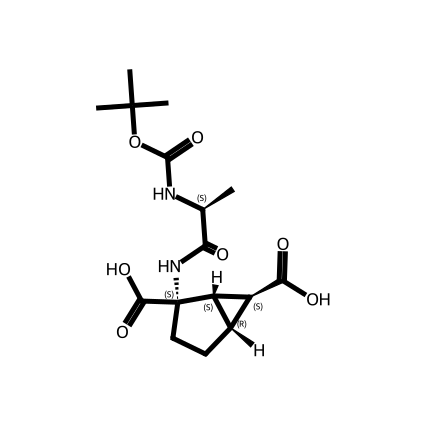 C[C@H](NC(=O)OC(C)(C)C)C(=O)N[C@@]1(C(=O)O)CC[C@H]2[C@H](C(=O)O)[C@H]21